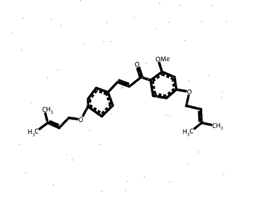 COc1cc(OCC=C(C)C)ccc1C(=O)/C=C/c1ccc(OCC=C(C)C)cc1